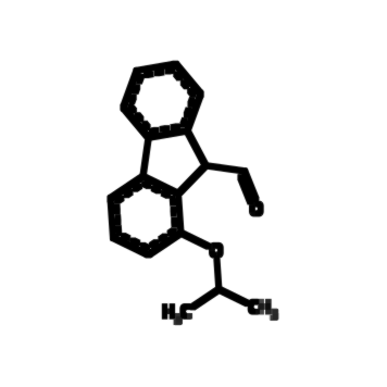 CC(C)Oc1cccc2c1C(C=O)c1ccccc1-2